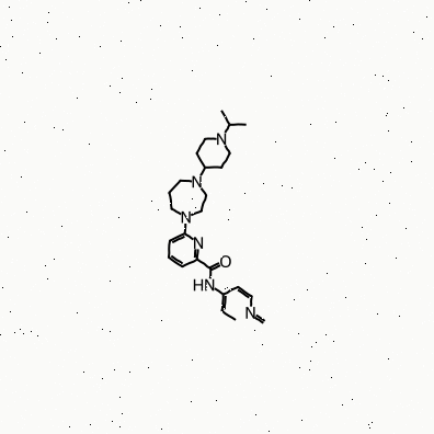 C=N/C=C\C(=C/C)NC(=O)c1cccc(N2CCCN(C3CCN(C(C)C)CC3)CC2)n1